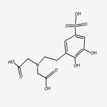 O=C(O)CN(CCc1cc(S(=O)(=O)O)cc(O)c1O)CC(=O)O